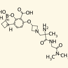 CN(C)C(=O)CNC(=O)C(C)(N)CN1CC(Oc2ccc3c(c2C(=O)O)OB(O)[C@@H]2CC[C@H]32)C1